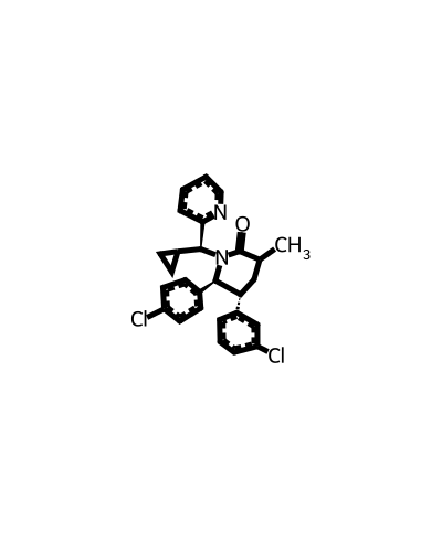 CC1C[C@H](c2cccc(Cl)c2)[C@@H](c2ccc(Cl)cc2)N([C@H](c2ccccn2)C2CC2)C1=O